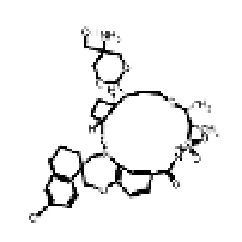 C[C@@H]1[C@@H](C)CCC[C@@H](C2OCC(N)(CO)CO2)[C@@H]2CC[C@H]2CN2C[C@@]3(CCCc4cc(Cl)ccc43)COc3ccc(cc32)C(=O)NS1(=O)=O